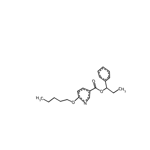 CCCCCOc1ccc(C(=O)OC(CC)c2ccccc2)cn1